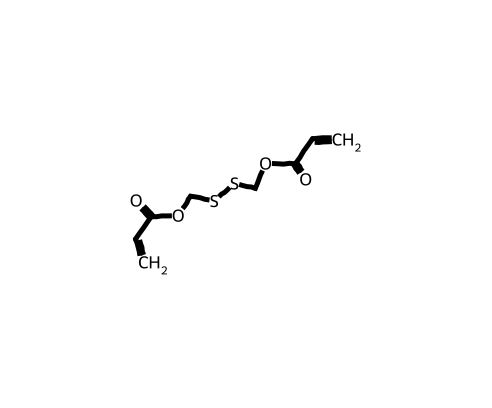 C=CC(=O)OCSSCOC(=O)C=C